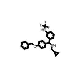 FC(F)(F)Nc1cccc(C(NCC2CC2)c2ccc(OCc3ccccc3)cc2)c1